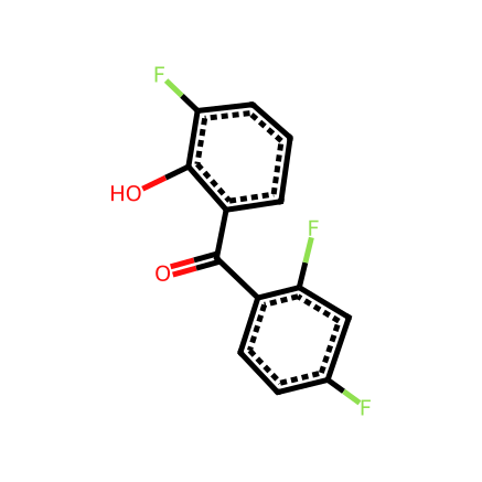 O=C(c1ccc(F)cc1F)c1cccc(F)c1O